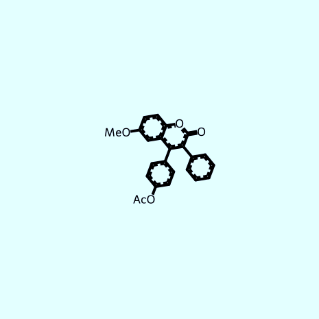 COc1ccc2oc(=O)c(-c3ccccc3)c(-c3ccc(OC(C)=O)cc3)c2c1